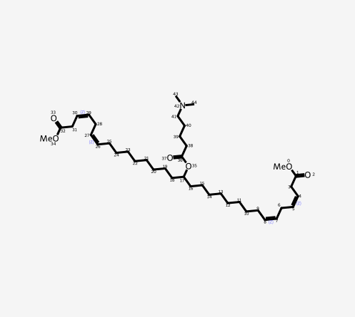 COC(=O)C/C=C\C/C=C\CCCCCCCCC(CCCCCCCC/C=C\C/C=C\CC(=O)OC)OC(=O)CCCCN(C)C